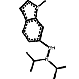 CC(C)N(Bc1ccc2ccn(C)c2c1)C(C)C